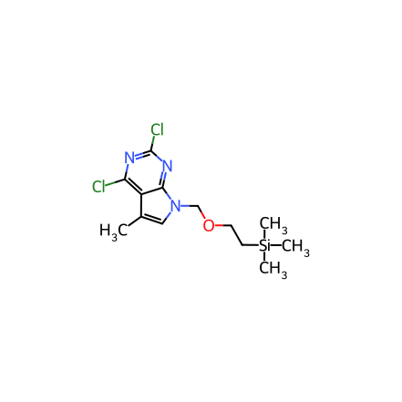 Cc1cn(COCC[Si](C)(C)C)c2nc(Cl)nc(Cl)c12